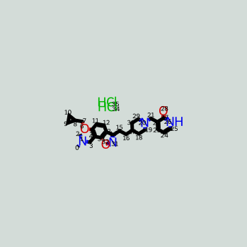 CN(C)Cc1c(OCC2CC2)ccc2c(CCC3CCN(Cc4ccc[nH]c4=O)CC3)noc12.Cl.Cl